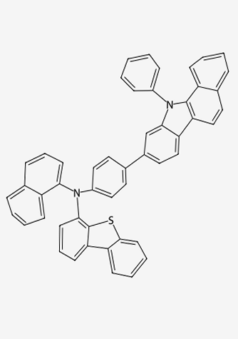 c1ccc(-n2c3cc(-c4ccc(N(c5cccc6ccccc56)c5cccc6c5sc5ccccc56)cc4)ccc3c3ccc4ccccc4c32)cc1